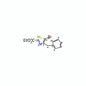 CCOC(=O)c1nc(Cc2ccccc2)c(Br)s1